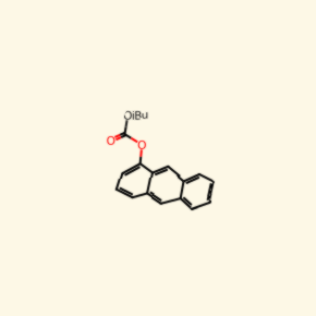 CC(C)COC(=O)Oc1cccc2cc3ccccc3cc12